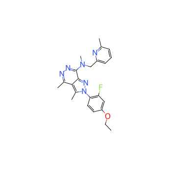 CCOc1ccc(-n2nc3c(N(C)Cc4cccc(C)n4)nnc(C)c3c2C)c(F)c1